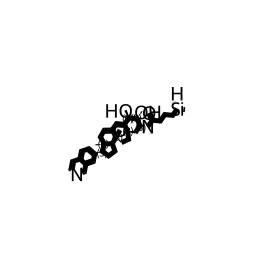 CN(C(=O)CCC[SiH](C)C)[C@H]1C[C@@]23CC[C@@]4(O2)C(=CC[C@@]2(C)C4CC[C@@H]2c2ccc4ccncc4c2)C=C3[C@@H](O)[C@@H]1O